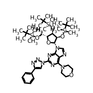 CC(C)(C)[Si](C)(C)OC[C@H]1O[C@@H](n2cnc3c(N4CCOCC4)nc(-n4cc(-c5ccccc5)nn4)nc32)[C@H](O[Si](C)(C)C(C)(C)C)[C@@H]1O[Si](C)(C)C(C)(C)C